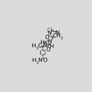 C[C@H](c1ccc(C(N)=O)cc1)N1C(=O)[C@@H]2C[C@H]1CN2C[C@H](C)C(=O)N1CCC[C@H]1C#N